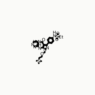 CCS(=O)(=O)Nc1ccc(-c2nn(COCC[Si](C)(C)C)c(Nc3cccnn3)c2C(N)=O)cc1